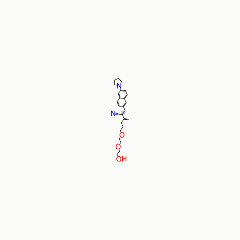 C=C(CCCOCCOCCO)/C(C#N)=C/c1ccc2cc(N3CCCC3)ccc2c1